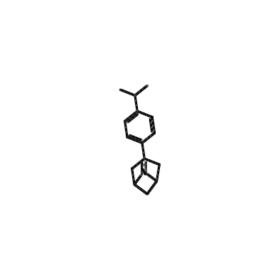 CC(C)c1ccc(C2CC3CC(C2)N3)cc1